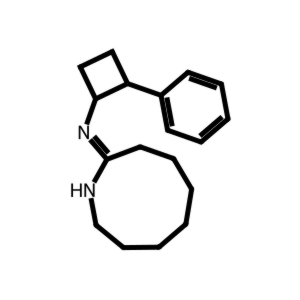 c1ccc(C2CCC2N=C2CCCCCCCN2)cc1